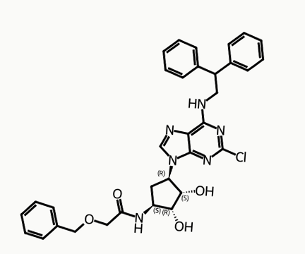 O=C(COCc1ccccc1)N[C@H]1C[C@@H](n2cnc3c(NCC(c4ccccc4)c4ccccc4)nc(Cl)nc32)[C@H](O)[C@@H]1O